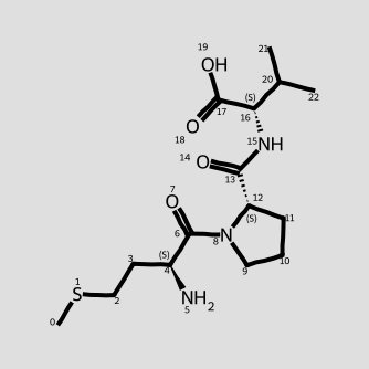 CSCC[C@H](N)C(=O)N1CCC[C@H]1C(=O)N[C@H](C(=O)O)C(C)C